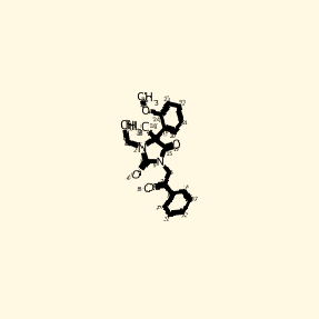 CCN1C(=O)N(CC(=O)c2ccccc2)C(=O)C1(C)c1ccccc1OC